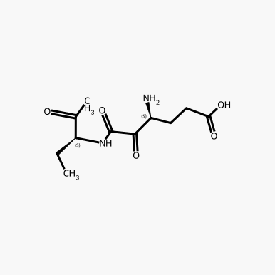 CC[C@H](NC(=O)C(=O)[C@@H](N)CCC(=O)O)C(C)=O